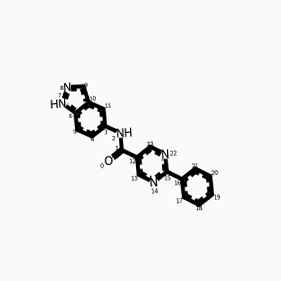 O=C(Nc1ccc2[nH]ncc2c1)c1cnc(-c2ccccc2)nc1